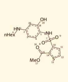 CCCCCCNc1ccc(NS(=O)(=O)c2ccsc2C(=O)OC)c(O)c1